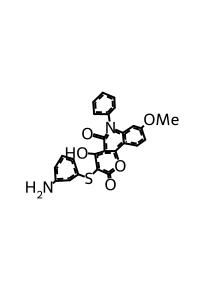 COc1ccc2c3oc(=O)c(Sc4cccc(N)c4)c(O)c3c(=O)n(-c3ccccc3)c2c1